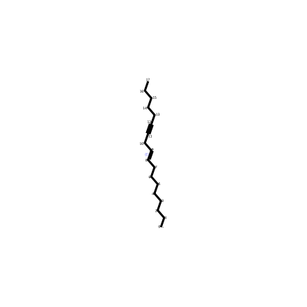 [CH2]CCCCCCC/C=C/CC#CCCCCC